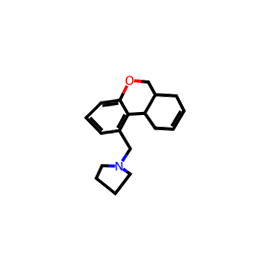 C1=CCC2c3c(CN4CCCC4)cccc3OCC2C1